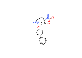 O=C1NC2(CCCNC2CO[C@H]2CC[C@@H](c3ccccc3)CC2)CO1